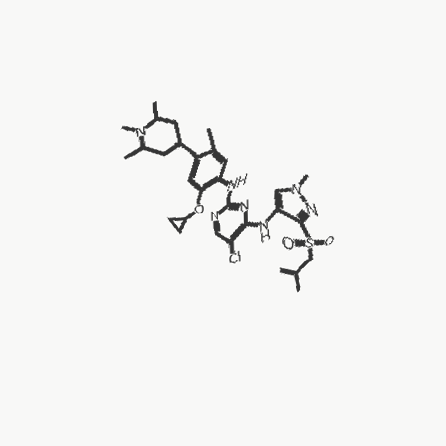 Cc1cc(Nc2ncc(Cl)c(Nc3cn(C)nc3S(=O)(=O)CC(C)C)n2)c(OC2CC2)cc1C1CC(C)N(C)C(C)C1